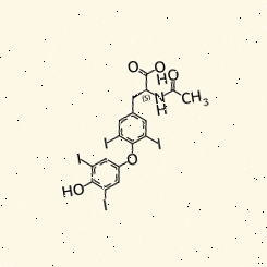 CC(=O)N[C@@H](Cc1cc(I)c(Oc2cc(I)c(O)c(I)c2)c(I)c1)C(=O)O